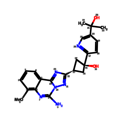 COc1cccc2c1nc(N)n1nc([C@H]3C[C@@](O)(c4ccc(C(C)(C)O)cn4)C3)nc21